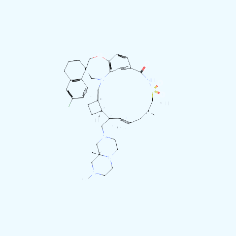 CO[C@@]1(CN2CCN3CCN(C(C)=O)C[C@@H]3C2)/C=C/C[C@H](C)[C@@H](C)S(=O)(=O)NC(=O)c2ccc3c(c2)N(C[C@@H]2CC[C@H]21)C[C@@]1(CCCc2cc(Cl)ccc21)CO3